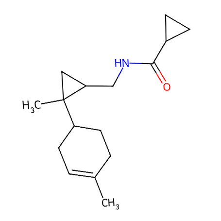 CC1=CCC(C2(C)CC2CNC(=O)C2CC2)CC1